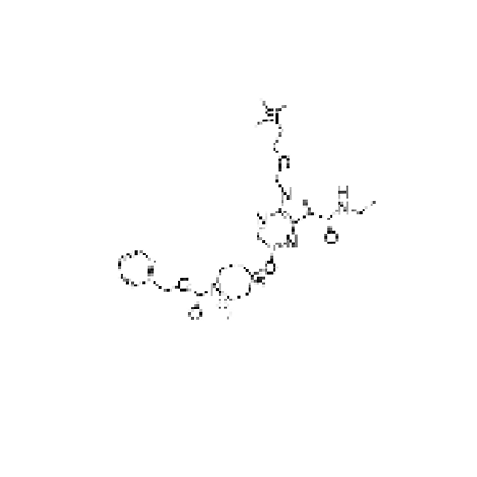 CCNC(=O)c1cn(COCC[Si](C)(C)C)c2ncc(O[C@@H]3CCN(C(=O)OCc4ccccc4)[C@@H](C)C3)nc12